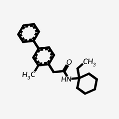 CCC1(NC(=O)Cc2ccc(-c3ccccc3)cc2C)CCCCC1